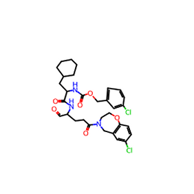 O=CC(CCC(=O)N1CCOc2ccc(Cl)cc2C1)NC(=O)C(CC1CCCCC1)NC(=O)OCc1cccc(Cl)c1